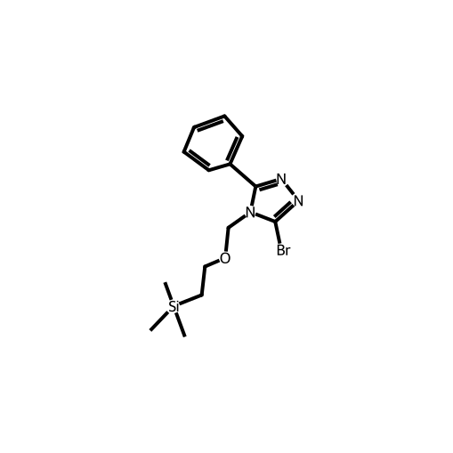 C[Si](C)(C)CCOCn1c(Br)nnc1-c1ccccc1